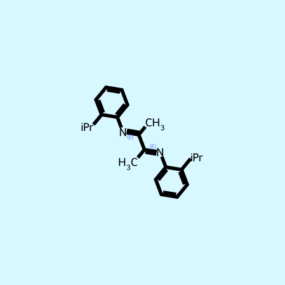 CC(=N\c1ccccc1C(C)C)/C(C)=N/c1ccccc1C(C)C